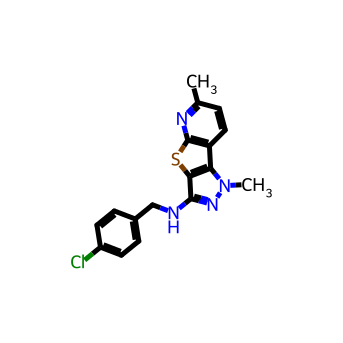 Cc1ccc2c(n1)sc1c(NCc3ccc(Cl)cc3)nn(C)c12